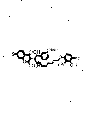 CCCc1c(OCCCC/C=C\C=C\[C@@H](c2c(C(=O)O)oc3c(c2=O)=CCC(=S)C=3)[C@@H](O)c2cccc(OC)c2)ccc(C(C)=O)c1O